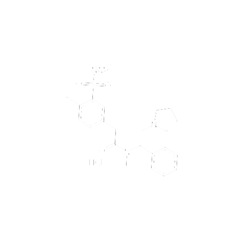 CNS(=O)(=O)c1cc(CC(=O)N(C)[C@H](CN2CCCC2)c2ccccc2)ccc1F.Cl